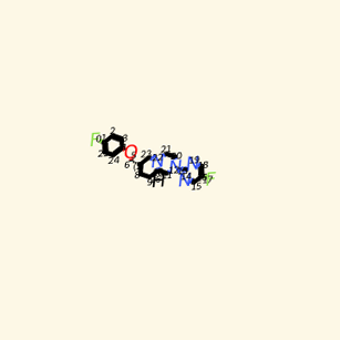 Fc1ccc(OC[C@H]2CC[C@@H]3CN(c4ncc(F)cn4)CCN3C2)cc1